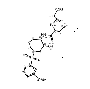 COc1cccc(S(=O)(=O)N2CCCC(NC(=O)[C@H](CC(C)C)NC(=O)OC(C)(C)C)C(O)C2)c1